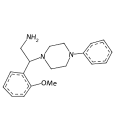 COc1ccccc1C(CN)N1CCN(c2ccccc2)CC1